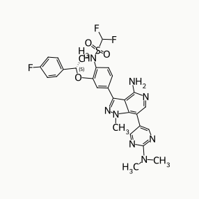 C[C@H](Oc1cc(-c2nn(C)c3c(-c4cnc(N(C)C)nc4)cnc(N)c23)ccc1NS(=O)(=O)C(F)F)c1ccc(F)cc1